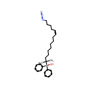 CC(C)(CCCCCCC/C=C\CCCCN=[N+]=[N-])[Si](O)(c1ccccc1)c1ccccc1